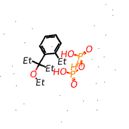 CCOC(CC)(CC)c1ccccc1CC.O=[PH](O)O[PH](=O)O